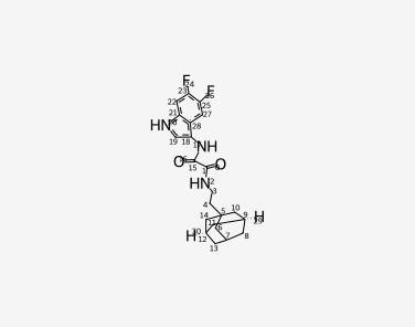 O=C(NCCC12CC3C[C@H](C1)C[C@@H](C3)C2)C(=O)Nc1c[nH]c2cc(F)c(F)cc12